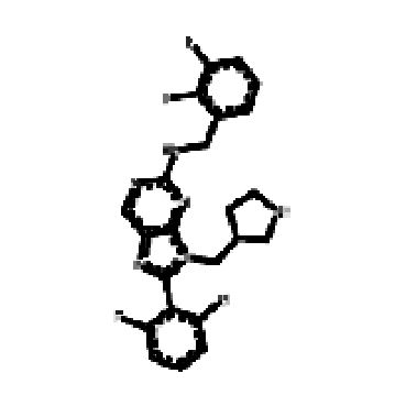 Fc1cccc(CNc2ncc3nc(-c4c(F)cccc4Cl)n(CC4CCNC4)c3n2)c1F